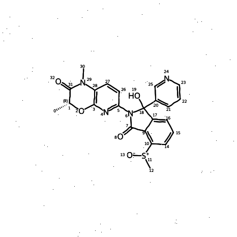 C[C@H]1Oc2nc(N3C(=O)c4c([S+](C)[O-])cccc4C3(O)c3cccnc3)ccc2N(C)C1=O